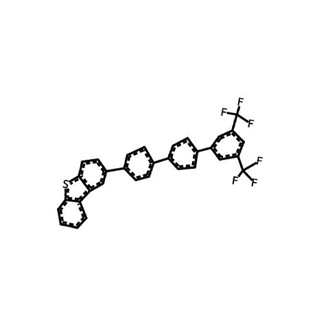 FC(F)(F)c1cc(-c2ccc(-c3ccc(-c4ccc5sc6ccccc6c5c4)cc3)cc2)cc(C(F)(F)F)c1